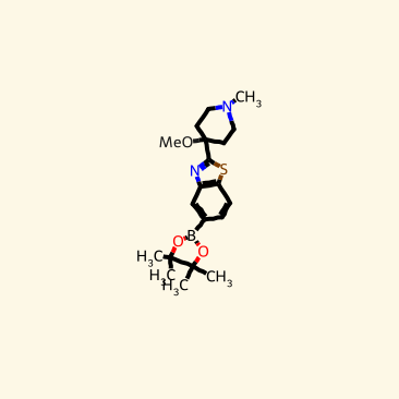 COC1(c2nc3cc(B4OC(C)(C)C(C)(C)O4)ccc3s2)CCN(C)CC1